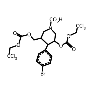 O=C(OCC1CN(C(=O)O)CC(OC(=O)OCC(Cl)(Cl)Cl)C1c1ccc(Br)cc1)OCC(Cl)(Cl)Cl